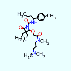 CCCC(NC(=O)N1C(=O)C(CC)(CC)C1OCC(=O)N(C)CCCN(C)C)c1ccc(C)cc1